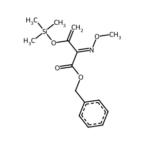 C=C(O[Si](C)(C)C)C(=NOC)C(=O)OCc1ccccc1